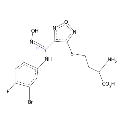 NC(CCSc1nonc1/C(=N\O)Nc1ccc(F)c(Br)c1)C(=O)O